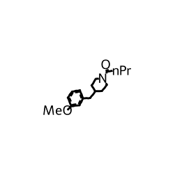 CCCC(=O)N1CCC(Cc2cccc(OC)c2)CC1